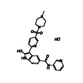 CN1CCN(S(=O)(=O)c2ccc(-c3c(O)[nH]c4ccc(C(=O)Nc5cccnc5)cc34)nc2)CC1.Cl